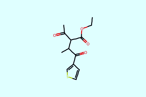 CCOC(=O)C(C(C)=O)C(C)C(=O)c1ccsc1